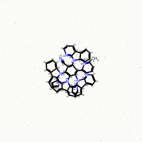 Cc1cccc(-c2c(-n3c4ccccc4c4cccnc43)c(C#N)c(-n3c4ccccc4c4cccnc43)c(-n3c4ccccc4c4cccnc43)c2-n2c3ccccc3c3cccnc32)n1